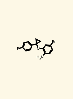 Nc1ccc(Br)cc1OC1(c2ccc(F)cc2)CC1